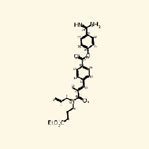 C=CCN(CCCC(=O)OCC)C(=O)/C(C)=C/c1ccc(C(=O)Oc2ccc(C(=N)N)cc2)cc1